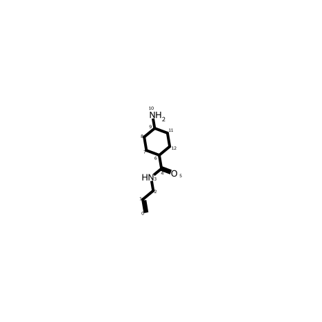 C=CCNC(=O)C1CCC(N)CC1